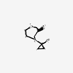 O=C1OCCN1C1(O)CC1